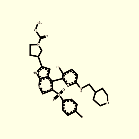 Cc1ccc(S(=O)(=O)c2cnc3[nH]c(C4CCN(C(=O)OC(C)(C)C)C4)cc3c2-c2nc(NCC3CCOCC3)ccc2Cl)cc1